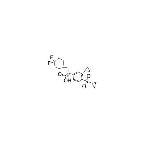 O=C(O)[C@H](CC1CCC(F)(F)CC1)c1ccc(S(=O)(=O)C2CC2)c(C2CC2)c1